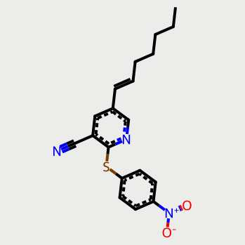 CCCCCC=Cc1cnc(Sc2ccc([N+](=O)[O-])cc2)c(C#N)c1